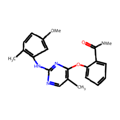 CNC(=O)c1ccccc1Oc1nc(Nc2cc(OC)ccc2C)ncc1C